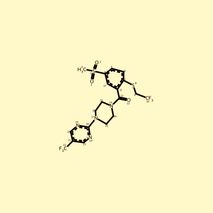 CS(=O)(=O)c1ccc(SCC(F)(F)F)c(C(=O)N2CCN(c3ncc(C(F)(F)F)cn3)CC2)c1